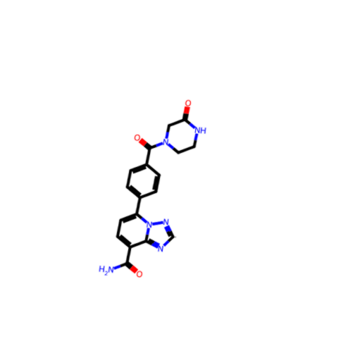 NC(=O)c1ccc(-c2ccc(C(=O)N3CCNC(=O)C3)cc2)n2n[c]nc12